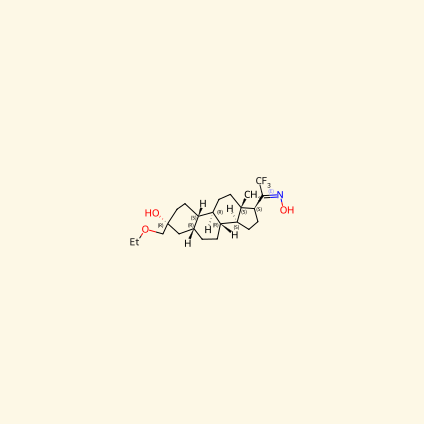 CCOC[C@@]1(O)CC[C@H]2[C@H](CC[C@@H]3[C@@H]2CC[C@]2(C)[C@@H](/C(=N\O)C(F)(F)F)CC[C@@H]32)C1